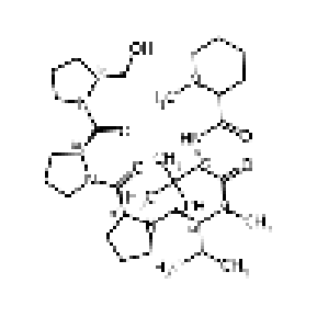 CC(C)[C@@H](CN1CCC[C@H]1C(=O)N1CCC[C@H]1C(=O)N1CCC[C@H]1CO)N(C)C(=O)[C@@H](NC(=O)C1CCCCN1C)C(C)(C)C